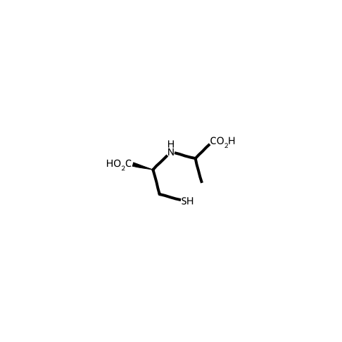 CC(N[C@@H](CS)C(=O)O)C(=O)O